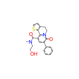 CN(CCO)C(=O)c1cc(-c2ccccc2)c(=O)n2c1-c1sccc1CC2